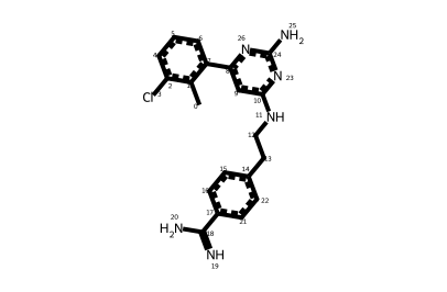 Cc1c(Cl)cccc1-c1cc(NCCc2ccc(C(=N)N)cc2)nc(N)n1